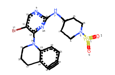 O=[SH](=O)N1CCC(Nc2ncc(Br)c(N3CCCc4c#cccc43)n2)CC1